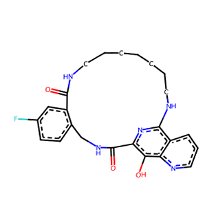 O=C1NCCCCCCCNc2nc(c(O)c3ncccc23)C(=O)NCc2ccc(F)cc21